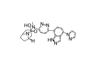 CN(c1ccc(-c2ccc(-n3cccn3)c3cn[nH]c23)nn1)C1CC2CC[C@@H](C1)N2C(=O)O